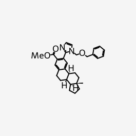 COC(=O)c1cc2c(cc1-c1nccn1COCc1ccccc1)[C@H]1CC[C@]3(C)CCC[C@H]3[C@@H]1CC2